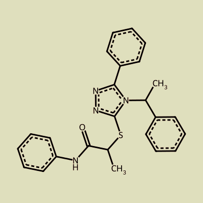 CC(Sc1nnc(-c2ccccc2)n1C(C)c1ccccc1)C(=O)Nc1ccccc1